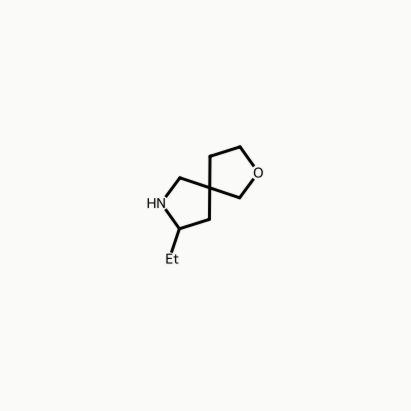 CCC1CC2(CCOC2)CN1